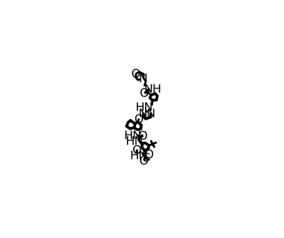 COc1c(NC(=O)Nc2ccc(Oc3ccnc(NCc4cccc(C(=O)NCCN5CCOCC5)c4)n3)c3ccccc23)cc(C(C)(C)C)cc1NS(C)(=O)=O